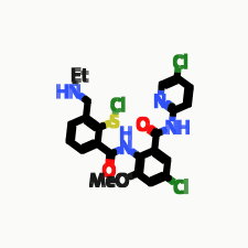 CCNCc1cccc(C(=O)Nc2c(OC)cc(Cl)cc2C(=O)Nc2ccc(Cl)cn2)c1SCl